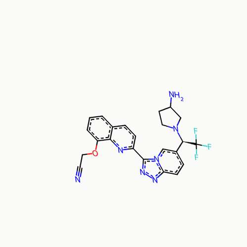 N#CCOc1cccc2ccc(-c3nnc4ccc([C@@H](N5CCC(N)C5)C(F)(F)F)cn34)nc12